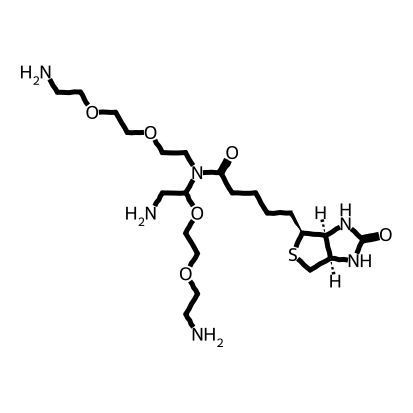 NCCOCCOCCN(C(=O)CCCC[C@@H]1SC[C@@H]2NC(=O)N[C@@H]21)C(CN)OCCOCCN